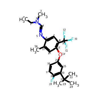 CCN(C)C=Nc1cc(C(F)(F)F)c(Oc2ccc(F)c(C(C)(C)C)c2)cc1C